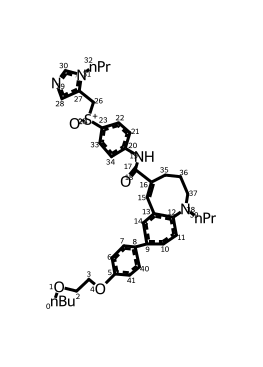 CCCCOCCOc1ccc(-c2ccc3c(c2)/C=C(/C(=O)Nc2ccc([S+]([O-])Cc4cncn4CCC)cc2)CCCN3CCC)cc1